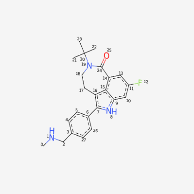 CNCc1ccc(-c2[nH]c3cc(F)cc4c3c2CCN(C(C)(C)C)C4=O)cc1